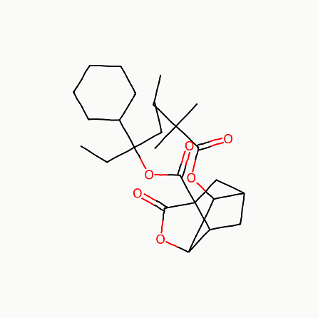 CCC(C)(C)C(=O)OC1C2CC3C1OC(=O)C3(C(=O)OC(CC)(CC)C1CCCCC1)C2